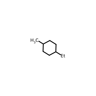 CCC1CCC(C)CC1